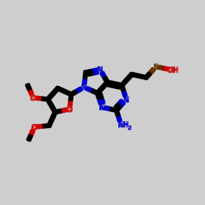 COCC1OC(n2cnc3c(CCSO)nc(N)nc32)CC1OC